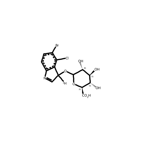 [2H]C1(OC2O[C@H](C(=O)O)[C@@H](O)[C@H](O)[C@H]2O)C=Nc2ccc(Br)c(Cl)c21